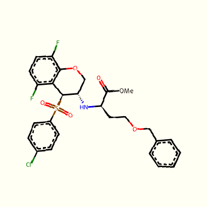 COC(=O)[C@@H](CCOCc1ccccc1)N[C@H]1COc2c(F)ccc(F)c2[C@@H]1S(=O)(=O)c1ccc(Cl)cc1